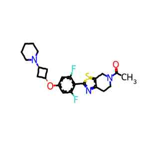 CC(=O)N1CCc2nc(-c3c(F)cc(O[C@H]4C[C@H](N5CCCCC5)C4)cc3F)sc2C1